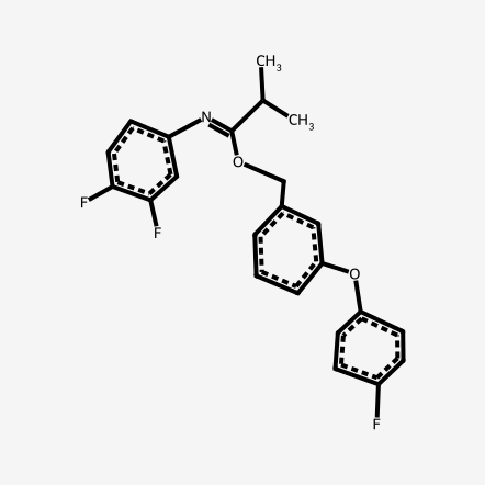 CC(C)C(=Nc1ccc(F)c(F)c1)OCc1cccc(Oc2ccc(F)cc2)c1